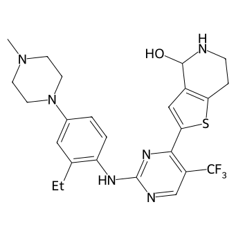 CCc1cc(N2CCN(C)CC2)ccc1Nc1ncc(C(F)(F)F)c(-c2cc3c(s2)CCNC3O)n1